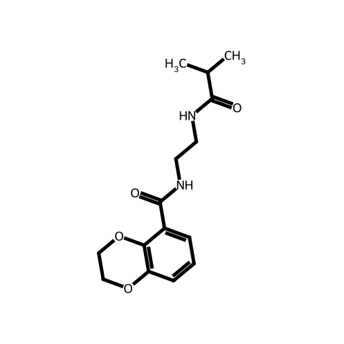 CC(C)C(=O)NCCNC(=O)c1cccc2c1OCCO2